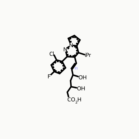 CC(C)c1c(/C=C/C(O)CC(O)CC(=O)O)c(-c2ccc(F)cc2Cl)nn2cccc12